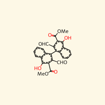 COC(=O)c1c(C=O)c(-c2c(C=O)c(C(=O)OC)c(O)c3ccccc23)c2ccccc2c1O